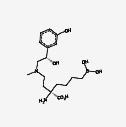 CN(CC[C@](N)(CCCCB(O)O)C(=O)O)C[C@@H](O)c1cccc(O)c1